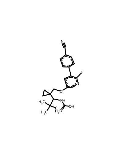 CC(C)(C)C(NC(=O)O)C1(COc2cnc(F)c(-c3ccc(C#N)cc3)c2)CC1